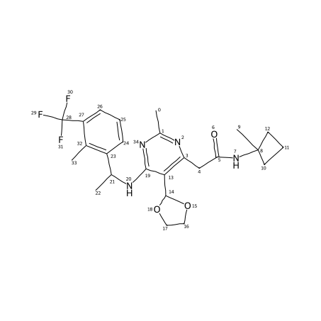 Cc1nc(CC(=O)NC2(C)CCC2)c(C2OCCO2)c(NC(C)c2cccc(C(F)(F)F)c2C)n1